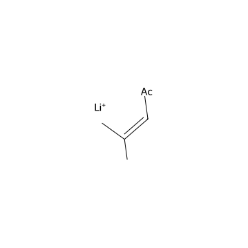 [CH2-]C(=O)C=C(C)C.[Li+]